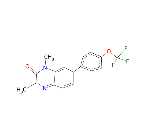 CC1N=C2C=CC(c3ccc(OC(F)(F)F)cc3)C=C2N(C)C1=O